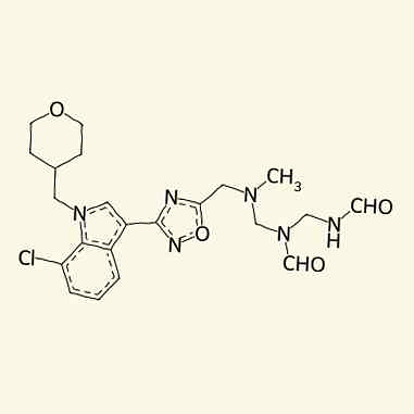 CN(Cc1nc(-c2cn(CC3CCOCC3)c3c(Cl)cccc23)no1)CN(C=O)CNC=O